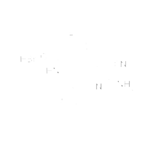 Br.N#Cc1c(N)nc(-c2cccc(F)c2)c(-c2ccc(=O)[nH]c2)c1-c1cccc(F)c1